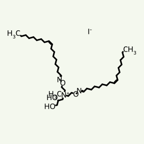 CCCCCCCC/C=C\CCCCCCC/C=N/OCC[N+](C)(CCO/N=C/CCCCCCC/C=C\CCCCCCCC)CC(O)CO.[I-]